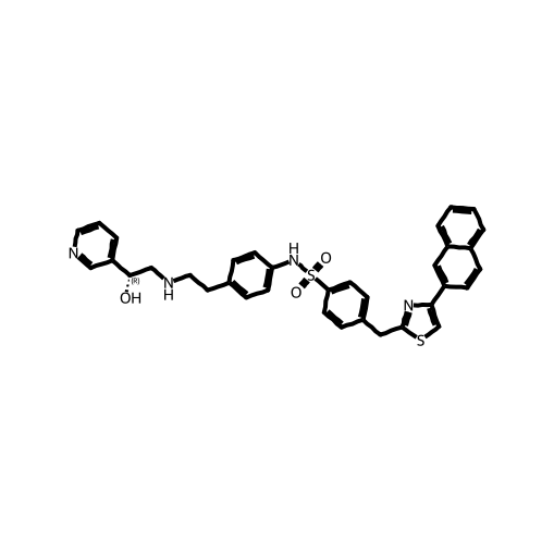 O=S(=O)(Nc1ccc(CCNC[C@H](O)c2cccnc2)cc1)c1ccc(Cc2nc(-c3ccc4ccccc4c3)cs2)cc1